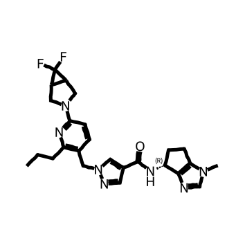 CCCc1nc(N2CC3C(C2)C3(F)F)ccc1Cn1cc(C(=O)N[C@@H]2CCc3c2ncn3C)cn1